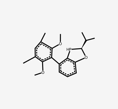 COc1c(C)cc(C)c(OC)c1-c1cccc2c1P[C@@H](C(C)C)O2